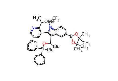 COC(C)c1ncccc1-c1c(C(O[Si](c2ccccc2)(c2ccccc2)C(C)(C)C)C(C)(C)C)c2cc(B3OC(C)(C)C(C)(C)O3)ccc2n1CC(F)(F)F